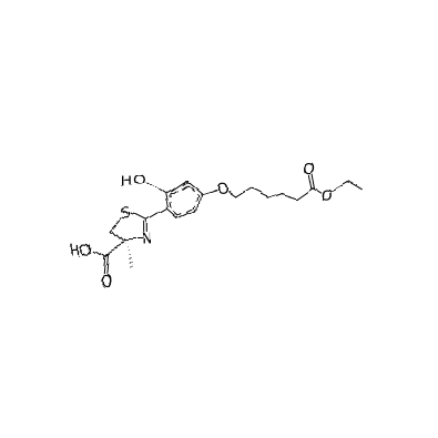 CCOC(=O)CCCCCOc1ccc(C2=N[C@@](C)(C(=O)O)CS2)c(O)c1